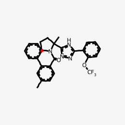 Cc1ccc(C(=O)N2CCCC2(C)c2nnc(-c3ccccc3OC(F)(F)F)[nH]2)c(-c2ccccc2)c1